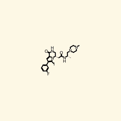 C[C@@H](CN1CCN(C)CC1)NC(=O)C[C@H]1CNC(=O)c2cc(-c3cccc(F)c3)c(I)n21